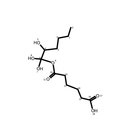 CCCCC(O)C(O)(O)OC(=O)CCCCC(=O)O